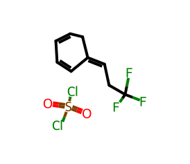 FC(F)(F)CC=C1C=CC=CC1.O=S(=O)(Cl)Cl